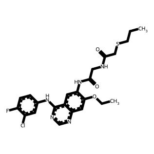 CCCSCC(=O)NCC(=O)Nc1cc2c(Nc3ccc(F)c(Cl)c3)ncnc2cc1OCC